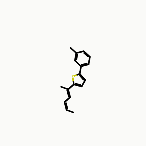 C/C=C\C=C(/C)c1ccc(-c2cccc(C)c2)s1